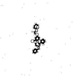 C[C@@H](COc1ccc(N2CCN(Cc3ccccc3)C[C@H]2c2ccccc2)c(Cl)c1)OC1CCCCO1